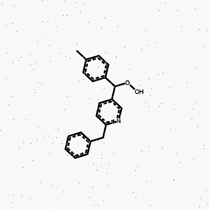 Cc1ccc(C(OO)c2ccc(Cc3ccccc3)nc2)cc1